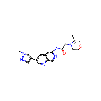 C[C@H]1COCCN1CC(=O)Nc1cc2cc(-c3cnn(C)c3)cnc2cn1